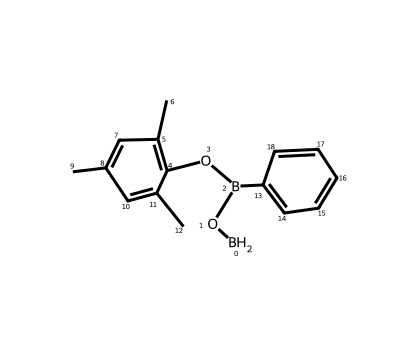 BOB(Oc1c(C)cc(C)cc1C)c1ccccc1